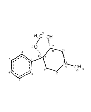 CO[C@@]1(c2ccccc2)CCN(C)C[C@H]1O